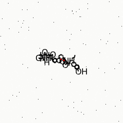 CCCCCC(C)(C(=O)NC(=O)[C@@]1(C)CCC[C@]2(C)c3cc(NC(=O)[C@H](C)NC(=O)[C@@H](NC(C)=O)C(C)C)ccc3CC[C@@H]12)[C@@H]1CCc2ccc(O)cc2C1